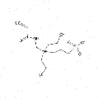 C=CC(=O)NC[N+](CCC)(CCC)CCCS(=O)(=O)[O-]